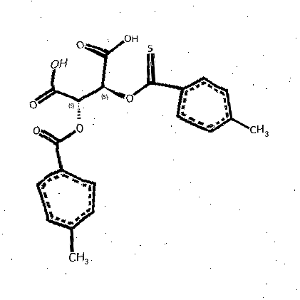 Cc1ccc(C(=O)O[C@H](C(=O)O)[C@H](OC(=S)c2ccc(C)cc2)C(=O)O)cc1